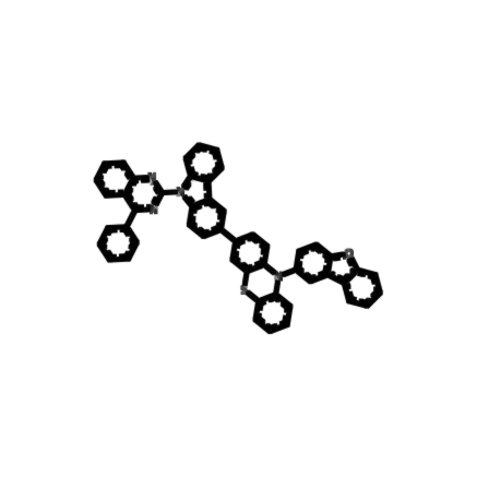 c1ccc(-c2nc(-n3c4ccccc4c4cc(-c5ccc6c(c5)Sc5ccccc5N6c5ccc6oc7ccccc7c6c5)ccc43)nc3ccccc23)cc1